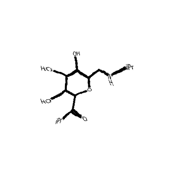 CC(C)NCC1OC(C(=O)C(C)C)C(O)C(O)C1O